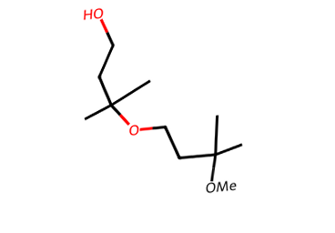 COC(C)(C)CCOC(C)(C)CCO